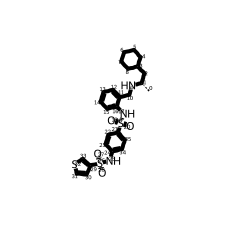 C[C@@H](CC1CCCCC1)NCc1ccccc1NS(=O)(=O)c1ccc(NS(=O)(=O)c2ccsc2)cc1